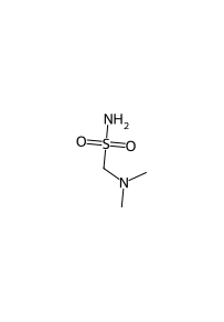 CN(C)CS(N)(=O)=O